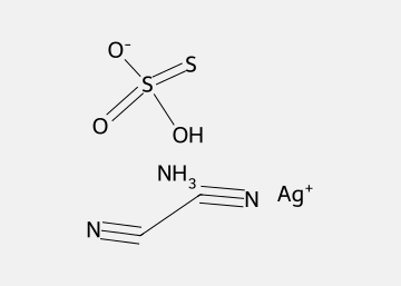 N.N#CC#N.O=S([O-])(O)=S.[Ag+]